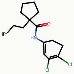 CC(C)CCC1(C(=O)NC2=CC(Cl)=C(Cl)C[CH]2)CCCC1